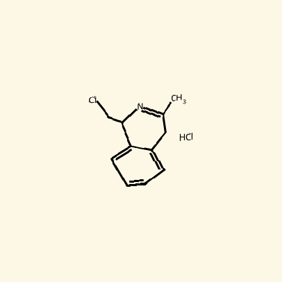 CC1=NC(CCl)c2ccccc2C1.Cl